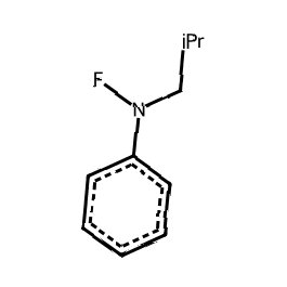 CC(C)CN(F)c1ccccc1